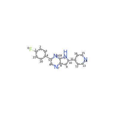 Fc1ccc(-c2cnc3cc(-c4ccncc4)[nH]c3n2)cc1